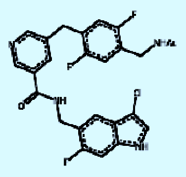 CC(=O)NCc1cc(F)c(Cc2cncc(C(=O)NCc3cc4c(Cl)c[nH]c4cc3F)c2)cc1F